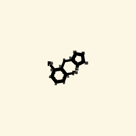 Fc1cccc(F)c1Cc1cccs1